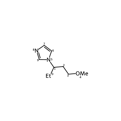 CCC(CCOC)n1ccnc1